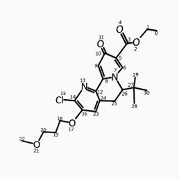 CCOC(=O)c1cn2c(cc1=O)-c1nc(Cl)c(OCCCOC)cc1CC2C(C)(C)C